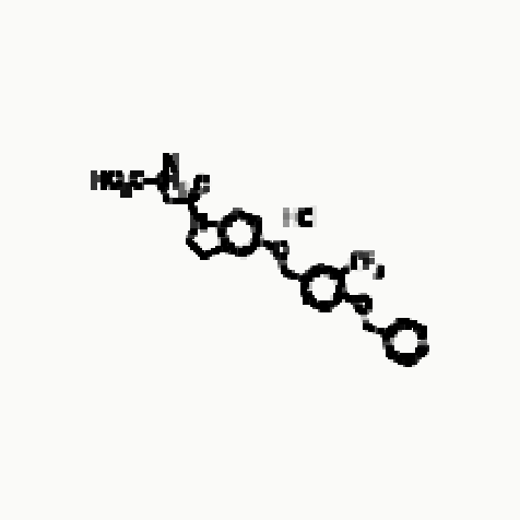 Cl.NC(CC(=O)N1CCc2cc(OCc3ccc(OCc4ccccc4)c(C(F)(F)F)c3)ccc21)C(=O)O